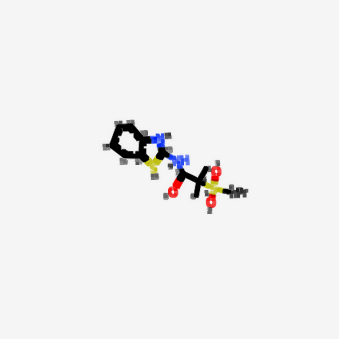 CCCS(=O)(=O)C(C)(C)C(=O)Nc1nc2ccccc2s1